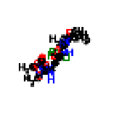 COC[C@H]1C[C@@H](c2nc(-c3ccc(-c4cc(Cl)c(NC(=O)c5ccc(N6CCN(C(=O)C(C)(C)C)C[C@H]6C)nc5)cc4OC(F)(F)F)cc3)c[nH]2)N(C(=O)C(NC(=O)OC)C2CCOCC2)C1